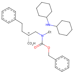 C1CCC(NC2CCCCC2)CC1.CCN(C[C@@H](CCc1ccccc1)C(=O)O)C(=O)OCc1ccccc1